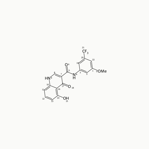 COc1cc(NC(=O)c2c[nH]c3cccc(O)c3c2=O)cc(C(F)(F)F)c1